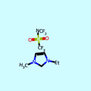 CCN1C=CN(C)C1.O=S(=O)(NC(F)(F)F)C(F)(F)F